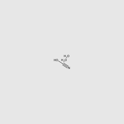 N#CO.O.O